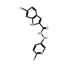 O=C(NNc1ccc(F)nc1)c1cc2ccc(Cl)cc2[nH]1